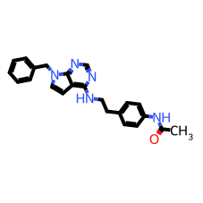 CC(=O)Nc1ccc(CCNc2ncnc3c2ccn3Cc2ccccc2)cc1